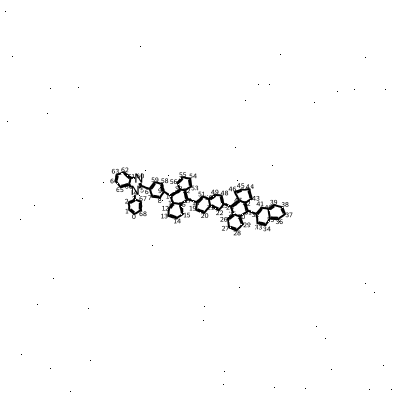 c1ccc(-n2c(-c3ccc(-c4c5ccccc5c(-c5ccc6cc(-c7c8ccccc8c(-c8ccc9ccccc9c8)c8ccccc78)ccc6c5)c5ccccc45)cc3)nc3ccccc32)cc1